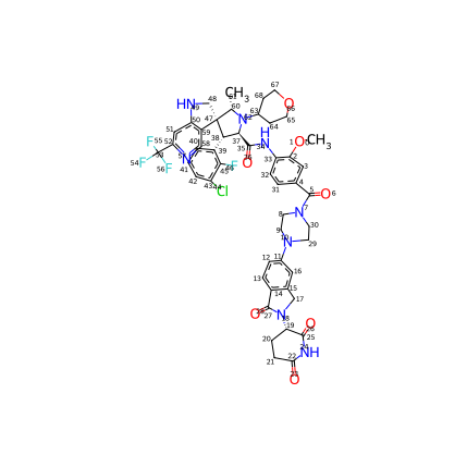 COc1cc(C(=O)N2CCN(c3ccc4c(c3)CN([C@H]3CCC(=O)NC3=O)C4=O)CC2)ccc1NC(=O)[C@H]1[C@H](c2cccc(Cl)c2F)[C@]2(CNc3cc(C(F)(F)F)ncc32)[C@H](C)N1C1CCOCC1